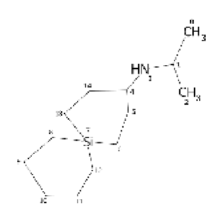 CC(C)NC1CC[Si]2(CCCCC2)CC1